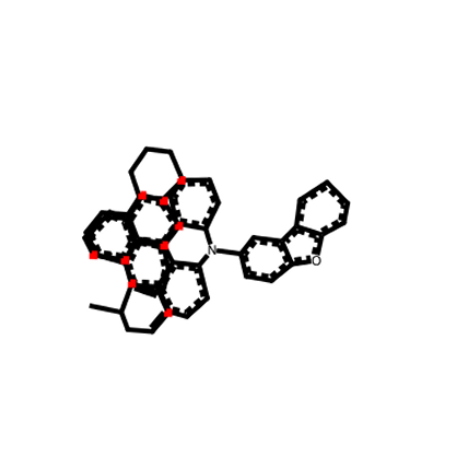 CC1CC=CC=C1c1cccc2cccc(-c3ccccc3N(c3ccc4oc5ccccc5c4c3)c3ccccc3-c3cccc4cccc(C5CCCCC5)c34)c12